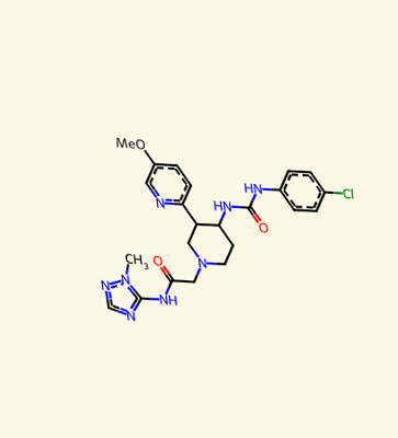 COc1ccc(C2CN(CC(=O)Nc3ncnn3C)CCC2NC(=O)Nc2ccc(Cl)cc2)nc1